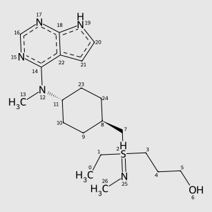 CC[SH](CCCO)(C[C@H]1CC[C@H](N(C)c2ncnc3[nH]ccc23)CC1)=NC